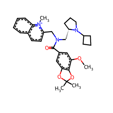 COc1cc(C(=O)N(Cc2ccc3ccccc3[n+]2C)C[C@@H]2CCCN2C2CCC2)cc2c1OC(C)(C)O2